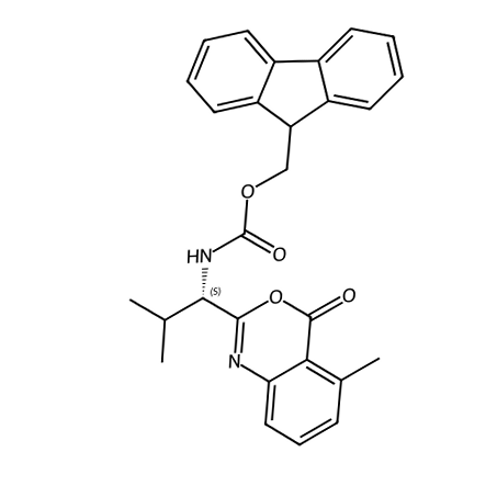 Cc1cccc2nc([C@@H](NC(=O)OCC3c4ccccc4-c4ccccc43)C(C)C)oc(=O)c12